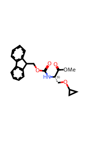 COC(=O)[C@H](COC1CC1)NC(=O)OCC1c2ccccc2-c2ccccc21